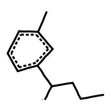 [CH2]C(CCC)c1cccc(C)c1